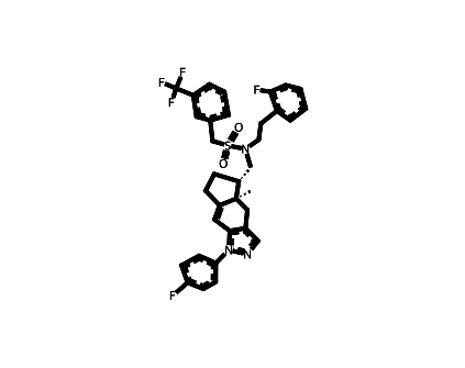 C[C@]12Cc3cnn(-c4ccc(F)cc4)c3C=C1CC[C@@H]2CN(CCc1ccccc1F)S(=O)(=O)Cc1cccc(C(F)(F)F)c1